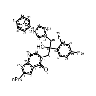 CCCc1cc2c(=O)n(CC(O)(Cn3cncn3)c3ccc(F)cc3F)cnc2s1.c1cc2ccc1CO2